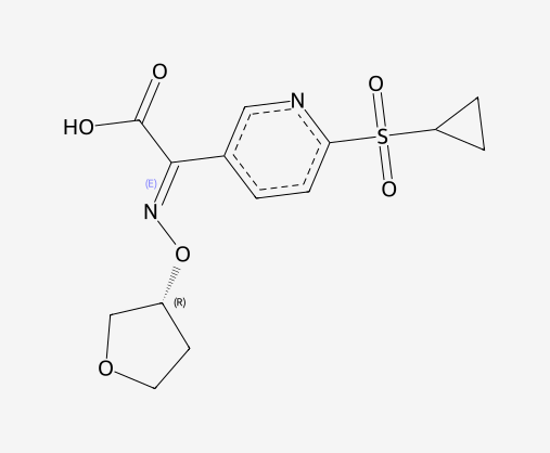 O=C(O)/C(=N/O[C@@H]1CCOC1)c1ccc(S(=O)(=O)C2CC2)nc1